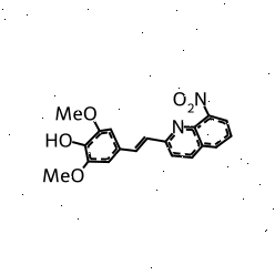 COc1cc(/C=C/c2ccc3cccc([N+](=O)[O-])c3n2)cc(OC)c1O